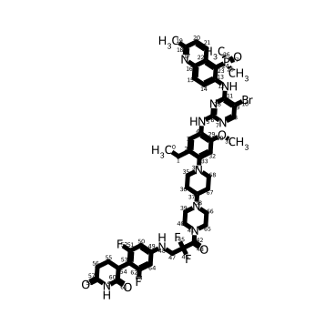 CCc1cc(Nc2ncc(Br)c(Nc3ccc4nc(C)ccc4c3P(C)(C)=O)n2)c(OC)cc1N1CCC(N2CCN(C(=O)C(F)(F)CNc3cc(F)c(C4CCC(=O)NC4=O)c(F)c3)CC2)CC1